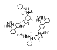 CCCCCCNC(=O)N(c1cc(C)c2nc(CCC)n(Cc3ccc(-c4ccccc4-c4nnn[nH]4)cc3)c2c1)C1CCCCC1.CCCc1nc2c(C)cc(N(CC)C(=O)NC3CCCCC3)cc2n1Cc1ccc(-c2ccccc2-c2nnn[nH]2)cc1